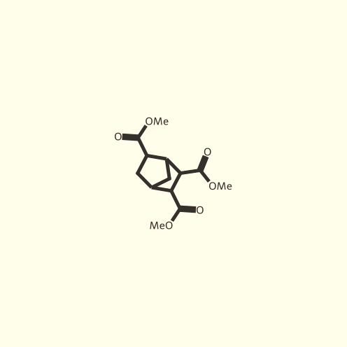 COC(=O)C1CC2CC1C(C(=O)OC)C2C(=O)OC